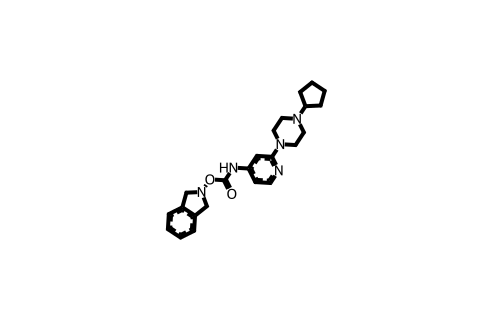 O=C(Nc1ccnc(N2CCN(C3CCCC3)CC2)c1)ON1Cc2ccccc2C1